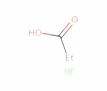 CCC(=O)O.F